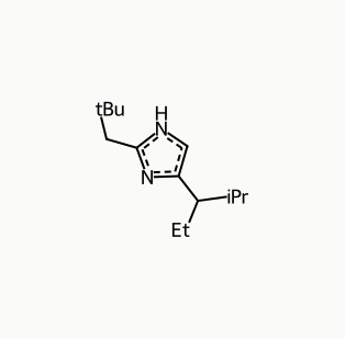 CCC(c1c[nH]c(CC(C)(C)C)n1)C(C)C